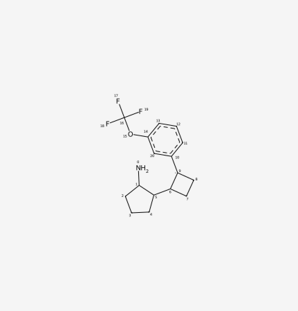 NC1CCCC1C1CC[C]1c1cccc(OC(F)(F)F)c1